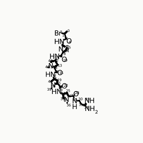 C=C(Br)C(=O)Nc1nc(C(=O)Nc2cc(C(=O)Nc3cc(C(=O)Nc4cc(C(=O)NCCC(=N)N)n(C)c4)n(C)c3)n(C)c2)cs1